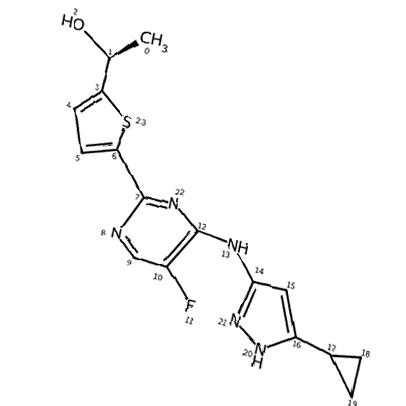 C[C@H](O)c1ccc(-c2ncc(F)c(Nc3cc(C4CC4)[nH]n3)n2)s1